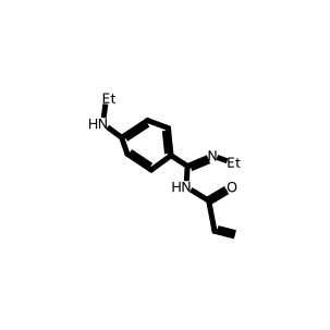 C=CC(=O)NC(=NCC)c1ccc(NCC)cc1